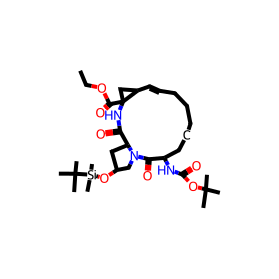 CCOC(=O)C12CC1C=CCCCCCC(NC(=O)OC(C)(C)C)C(=O)N1CC(O[Si](C)(C)C(C)(C)C)CC1C(=O)N2